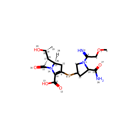 COCC(=N)N1CC(SC2=C(C(=O)O)N3C(=O)[C@H]([C@@H](C)O)[C@H]3C2)CC1C(N)=O